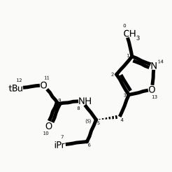 Cc1cc(C[C@H](CC(C)C)NC(=O)OC(C)(C)C)on1